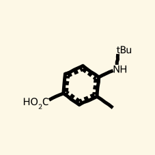 Cc1cc(C(=O)O)ccc1NC(C)(C)C